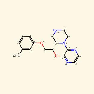 O=Cc1cccc(OCCOc2nccnc2N2CCNCC2)c1